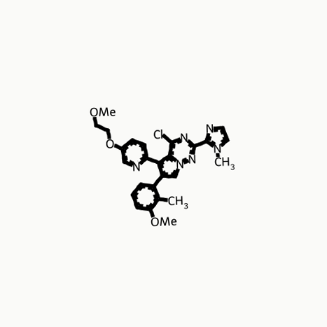 COCCOc1ccc(-c2c(-c3cccc(OC)c3C)cn3nc(-c4nccn4C)nc(Cl)c23)nc1